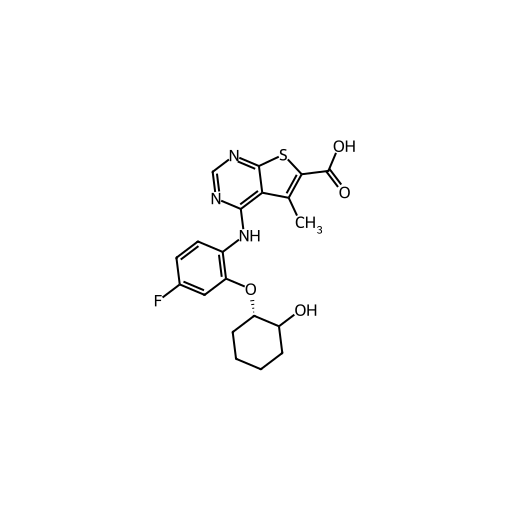 Cc1c(C(=O)O)sc2ncnc(Nc3ccc(F)cc3O[C@H]3CCCCC3O)c12